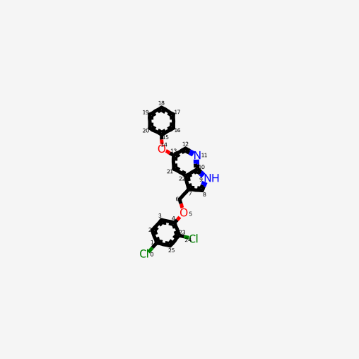 Clc1ccc(OCc2c[nH]c3ncc(Oc4ccccc4)cc23)c(Cl)c1